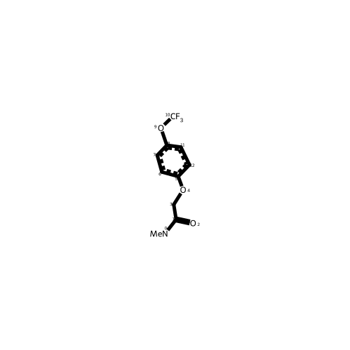 CNC(=O)COc1ccc(OC(F)(F)F)cc1